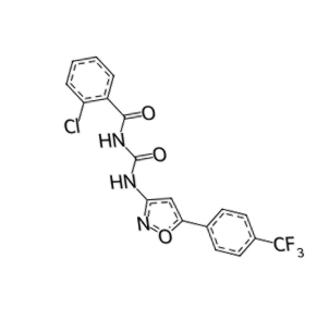 O=C(NC(=O)c1ccccc1Cl)Nc1cc(-c2ccc(C(F)(F)F)cc2)on1